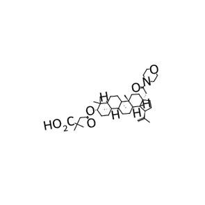 C=C(C)[C@@H]1CC[C@]2(CC(=O)N3CCOCC3)CC[C@]3(C)[C@H](CC[C@@H]4[C@@]5(C)CC[C@H](OC(=O)CC(C)(C)C(=O)O)C(C)(C)[C@@H]5CC[C@]43C)[C@@H]12